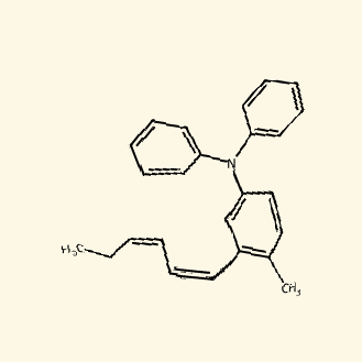 CC/C=C\C=C/c1cc(N(c2ccccc2)c2ccccc2)ccc1C